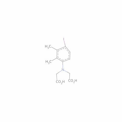 Cc1c(I)ccc(N(CC(=O)O)CC(=O)O)c1C